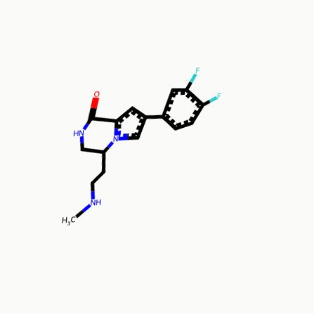 CNCCC1CNC(=O)c2cc(-c3ccc(F)c(F)c3)cn21